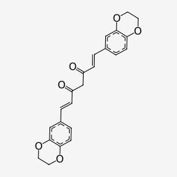 O=C(C=Cc1ccc2c(c1)OCCO2)CC(=O)C=Cc1ccc2c(c1)OCCO2